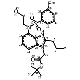 CCCc1nc2c(N(CCOC)S(=O)(=O)c3cccc(F)c3)cccc2n1CC(=O)OC(C)(C)C